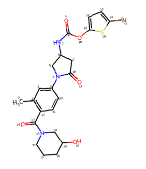 Cc1cc(N2CC(NC(=O)Oc3ccc(Br)s3)CC2=O)ccc1C(=O)N1CCCC(O)C1